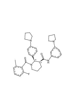 Cc1cccc(F)c1C(=O)N1CCC[C@H](C(=O)Nc2cccc(N3CCCC3)c2)[C@@H]1c1ccc(N2CCCC2)cc1